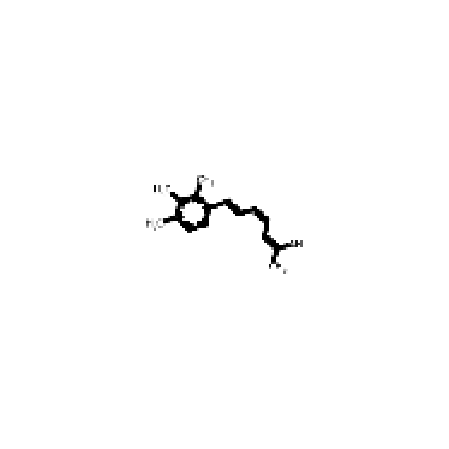 C/C(S)=C/C=C\C=C\c1ccc(C)c(C)c1C